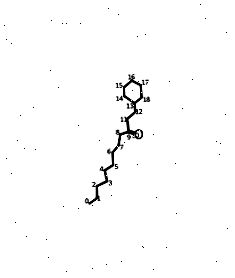 CCCCCCCCCC(=O)CCC1CCCCC1